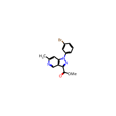 COC(=O)c1nn(-c2cccc(Br)c2)c2cc(C)ncc12